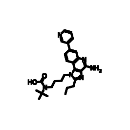 CCCc1nc2c(N)nc3cc(-c4cccnc4)ccc3c2n1CCCCN(C(=O)O)C(C)(C)C